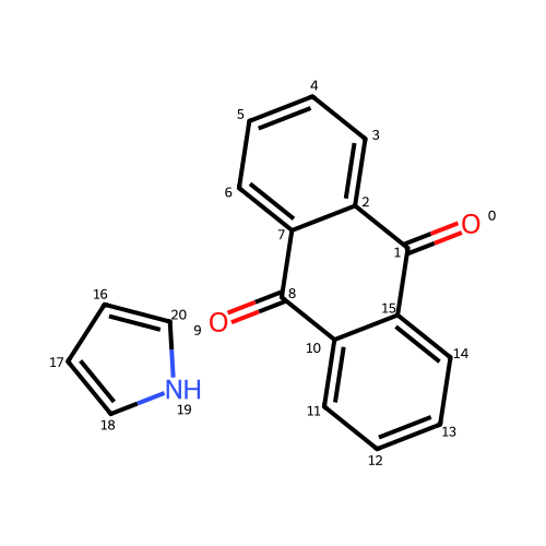 O=C1c2ccccc2C(=O)c2ccccc21.c1cc[nH]c1